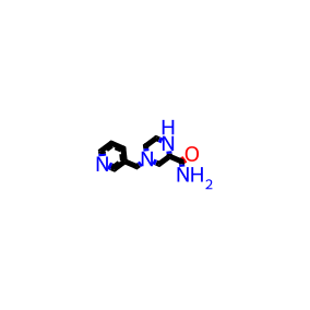 NC(=O)C1CN(Cc2cccnc2)CCN1